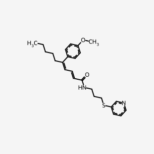 CCCCCC(=CC=CC(=O)NCCCSc1cccnc1)c1ccc(OC)cc1